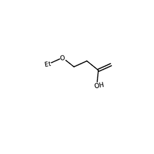 C=C(O)CCOCC